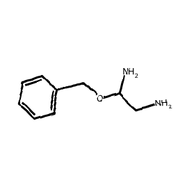 NCC(N)OCc1ccccc1